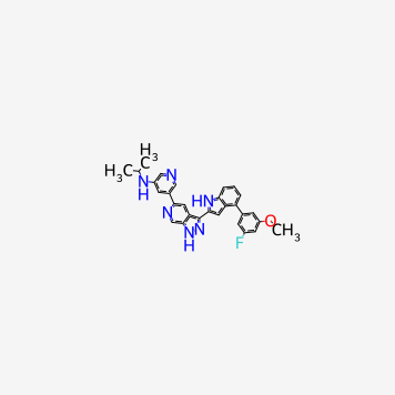 COc1cc(F)cc(-c2cccc3[nH]c(-c4n[nH]c5cnc(-c6cncc(NC(C)C)c6)cc45)cc23)c1